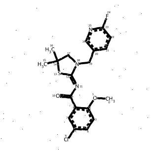 COc1ccc(Cl)cc1C(=O)N=C1SC(C)(C)CN1Cc1ccc(F)nc1